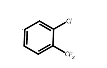 FC(F)(F)c1cc[c]cc1Cl